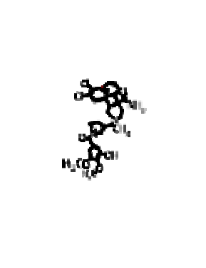 COc1cc(C(=O)N2CCC(C(C)N3CCC(C(N)=O)(c4ccccc4)C(c4ccc(Cl)c(Cl)c4)C3)C2)cc(O)c1OC